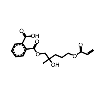 C=CC(=O)OCCCC(C)(O)COC(=O)c1ccccc1C(=O)O